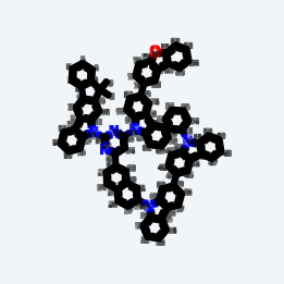 CC1(C)c2ccccc2-c2cc3c4ccccc4n(-c4nc(-c5ccc6ccc(-n7c8ccccc8c8ccc(-c9ccc%10c(c9)c9ccccc9n%10-c9ccccc9)cc87)cc6c5)cc(-n5c6ccccc6c6cc(-c7ccc8oc9ccccc9c8c7)ccc65)n4)c3cc21